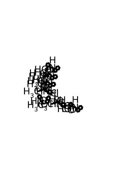 CC(Oc1ccc2ccccc2c1)C(=O)Nc1ccccc1.CCCCN(C)C(=O)Nc1ccc(Cl)c(Cl)c1.CCCCN(C)C(=O)Nc1ccc(Cl)c(Cl)c1.CCN(CC)C(=O)C(C)Oc1cccc2ccccc12.CCN(CC)C(=O)C(C)Oc1cccc2ccccc12.O=C(O)c1ccccc1C(=O)Nc1cccc2ccccc12.O=C(O)c1ccccc1C(=O)Nc1cccc2ccccc12